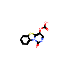 O=C(O)Oc1cnc(=O)n2c1sc1ccccc12